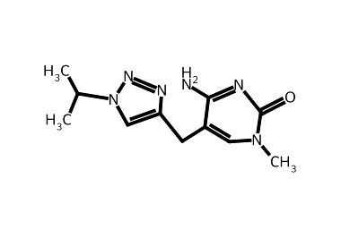 CC(C)n1cc(Cc2cn(C)c(=O)nc2N)nn1